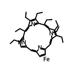 CCC1=C(CC)c2nc1c(CC)c1[nH]c(cc3nc(cc4c(CC)c(CC)c(c2CC)n4CC)C=C3)cc1CC.[Fe]